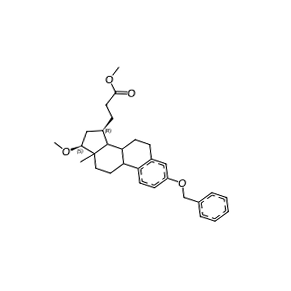 COC(=O)CC[C@@H]1C[C@H](OC)C2(C)CCC3c4ccc(OCc5ccccc5)cc4CCC3C12